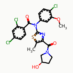 COc1cc(N(C(=O)c2ccc(Cl)cc2Cl)c2nc(C(=O)N3CC[C@@H](O)C3)c(C)s2)ccc1Cl